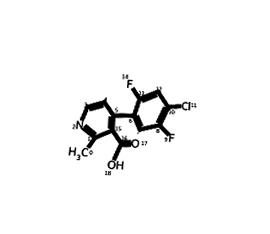 Cc1nccc(-c2cc(F)c(Cl)cc2F)c1C(=O)O